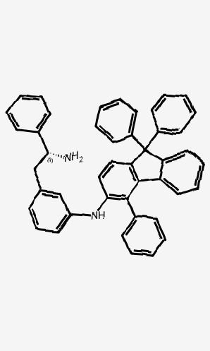 N[C@H](Cc1cccc(Nc2ccc3c(c2-c2ccccc2)-c2ccccc2C3(c2ccccc2)c2ccccc2)c1)c1ccccc1